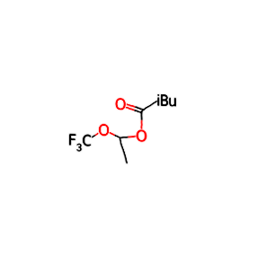 CCC(C)C(=O)OC(C)OC(F)(F)F